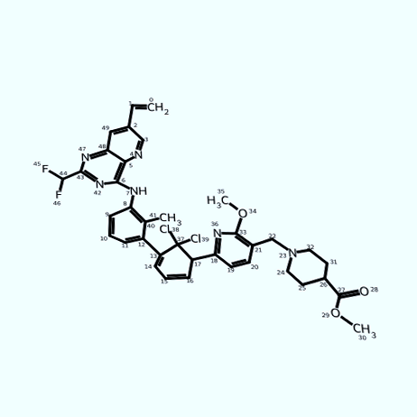 C=Cc1cnc2c(Nc3cccc(C4=CC=CC(c5ccc(CN6CCC(C(=O)OC)CC6)c(OC)n5)C4(Cl)Cl)c3C)nc(C(F)F)nc2c1